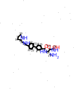 NC[C@H](NC(=O)c1ccc(-c2ccc(CNC[C@H]3CCCN3)cc2)cc1)C(=O)NO